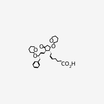 O=C(O)CCC/C=C\C[C@H]1[C@@H](OC2CCCCO2)CC(=O)[C@@H]1/C=C/[C@H](Cc1ccccc1)OC1CCCCO1